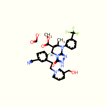 COC(=O)C1=C(C)N(c2cccc(C(F)(F)F)c2)c2n[nH]c(=O)n2[C@@H]1c1ccc(C#N)cc1CC[n+]1cccc(CO)c1.O=C[O-]